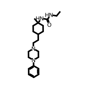 CCNC(=O)NC1(C)CCC(CCN2CCN(c3ccccc3)CC2)CC1